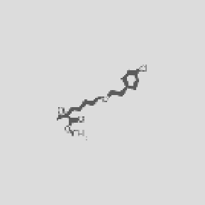 COC(=O)C1(CCCCCOCCc2ccc(Cl)cc2)CO1